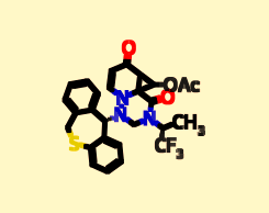 CC(=O)OC1C2C(=O)C=CN3N([C@H]4c5ccccc5CSc5ccccc54)CN([C@@H](C)C(F)(F)F)C(=O)C123